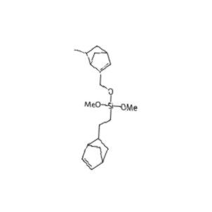 CO[Si](CCC1CC2C=CC1C2)(OC)OCC1=CC2CC(C)C1C2